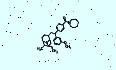 C=CCN1C2CCC(CC(c3ccc(C(=O)N4CCCCCC4)cc3)c3cccc(OC)c3)C1CCC2C